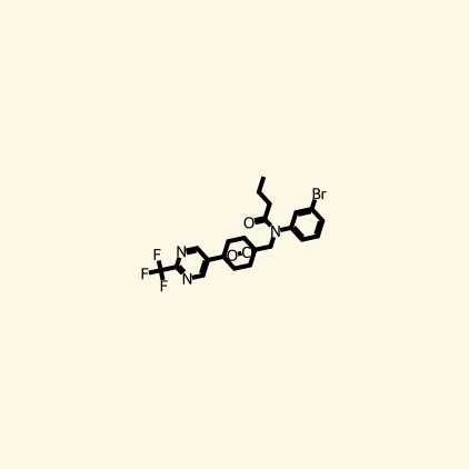 CCCC(=O)N(CC12CCC(c3cnc(C(F)(F)F)nc3)(CC1)OC2)c1cccc(Br)c1